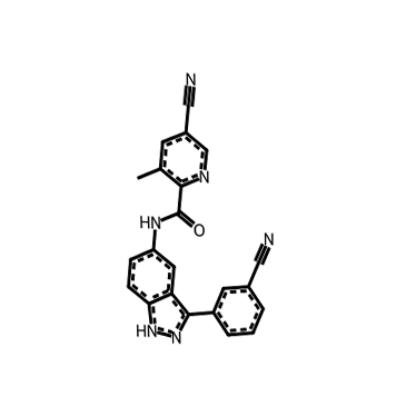 Cc1cc(C#N)cnc1C(=O)Nc1ccc2[nH]nc(-c3cccc(C#N)c3)c2c1